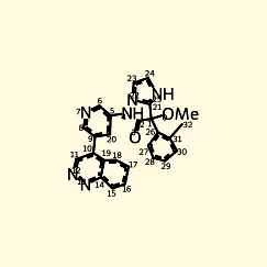 COC(C(=O)Nc1cncc(-c2cnnc3ccccc23)c1)(c1ncc[nH]1)c1ccccc1C